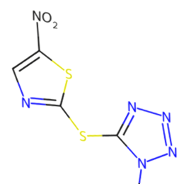 Cn1nnnc1Sc1ncc([N+](=O)[O-])s1